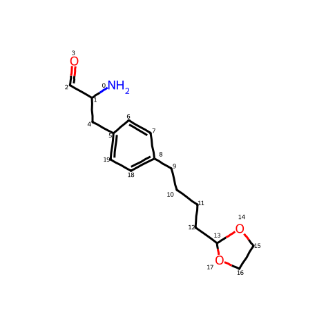 NC(C=O)Cc1ccc(CCCCC2OCCO2)cc1